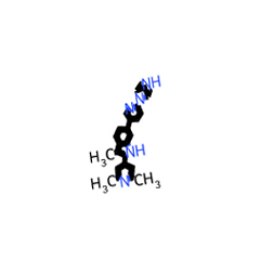 Cc1cc(-c2[nH]c3cc(-c4ccc(N5C6CNCC5C6)nc4)ccc3c2C)cc(C)n1